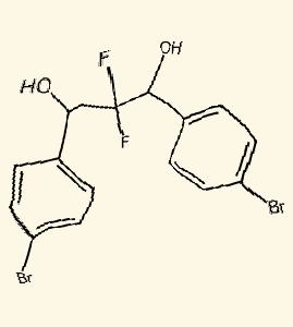 OC(c1ccc(Br)cc1)C(F)(F)C(O)c1ccc(Br)cc1